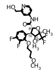 COCCCOc1c([C@H]2[C@H](C(=O)Nc3ccnc(CO)c3)O[C@@](C)(C(F)(F)F)[C@H]2C)ccc(F)c1F